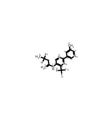 C=C(CC(C)(F)F)Nc1cnc(-c2cncc(C)c2)nc1C(F)(F)F